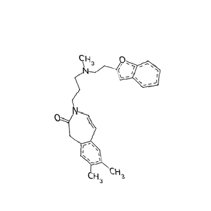 Cc1cc2c(cc1C)CC(=O)N(CCCN(C)CCc1cc3ccccc3o1)C=C2